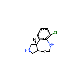 Clc1cccc2c1NCCC1CNC[C@H]21